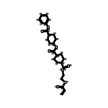 C=CC(=O)OCCOC(=O)C1CCC(C(=O)OC2CCC(C(=O)Oc3ccccc3)CC2)CC1